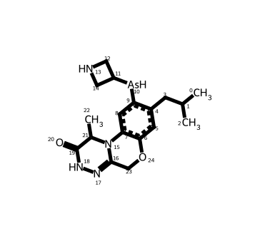 CC(C)Cc1cc2c(cc1[AsH]C1CNC1)N1C(=NNC(=O)C1C)CO2